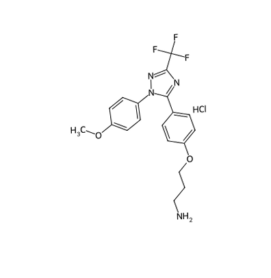 COc1ccc(-n2nc(C(F)(F)F)nc2-c2ccc(OCCCN)cc2)cc1.Cl